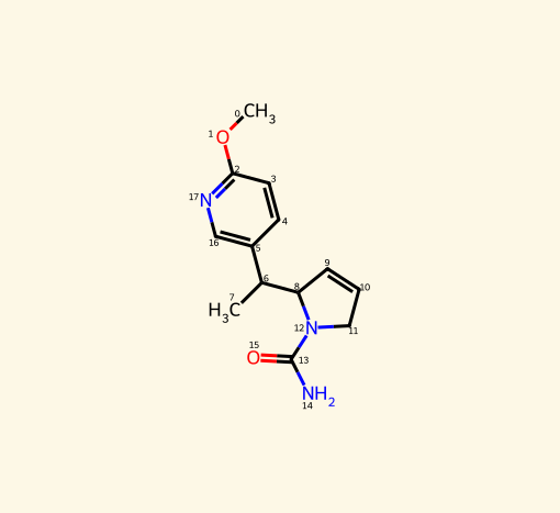 COc1ccc(C(C)C2C=CCN2C(N)=O)cn1